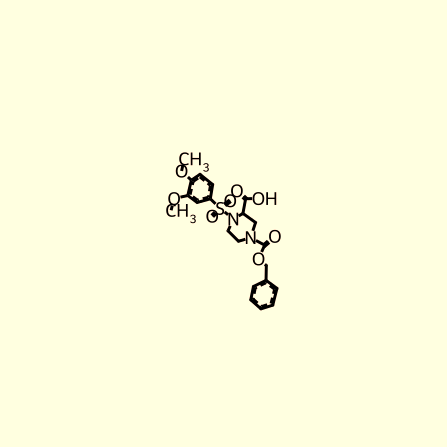 COc1ccc(S(=O)(=O)N2CCN(C(=O)OCc3ccccc3)CC2C(=O)O)cc1OC